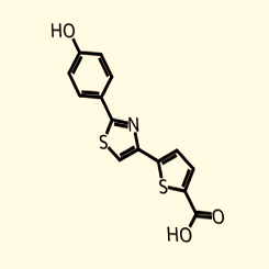 O=C(O)c1ccc(-c2csc(-c3ccc(O)cc3)n2)s1